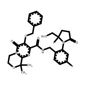 CC(=O)OCC1(I)CCC(=O)N1c1cc(F)ccc1CNC(=O)c1nc2n(c(=O)c1OCc1ccccc1)CCOC2(C)C